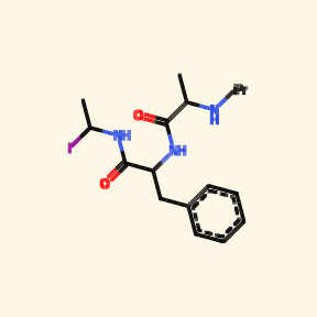 CC(C)NC(C)C(=O)NC(Cc1ccccc1)C(=O)NC(C)I